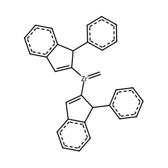 [CH2]=[Zr]([C]1=Cc2ccccc2C1c1ccccc1)[C]1=Cc2ccccc2C1c1ccccc1